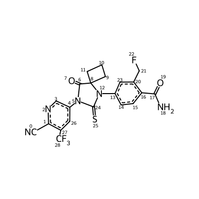 N#Cc1ncc(N2C(=O)C3(CCC3)N(c3ccc(C(N)=O)c(CF)c3)C2=S)cc1C(F)(F)F